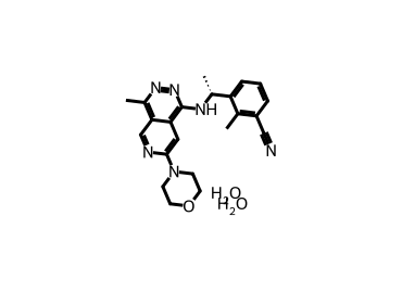 Cc1c(C#N)cccc1[C@@H](C)Nc1nnc(C)c2cnc(N3CCOCC3)cc12.O.O